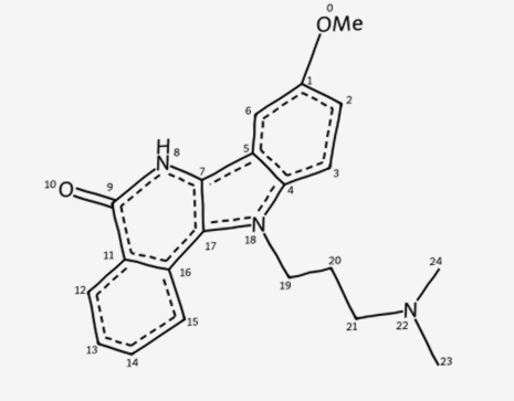 COc1ccc2c(c1)c1[nH]c(=O)c3ccccc3c1n2CCCN(C)C